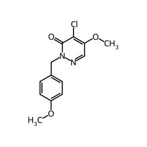 COc1ccc(Cn2ncc(OC)c(Cl)c2=O)cc1